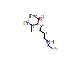 CC(C)CNCCCC[C@H](NC(C)C)C(=O)C(C)C